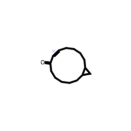 O=C1/C=C\CCCCC2CC2CCCCC1